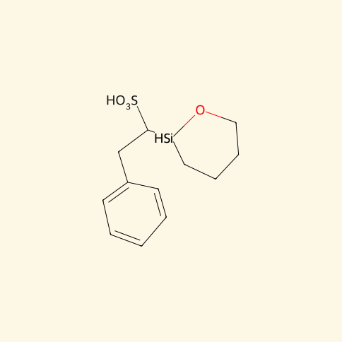 O=S(=O)(O)C(Cc1ccccc1)[SiH]1CCCCO1